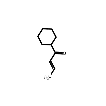 C/C=C/C(=O)C1CCCCC1